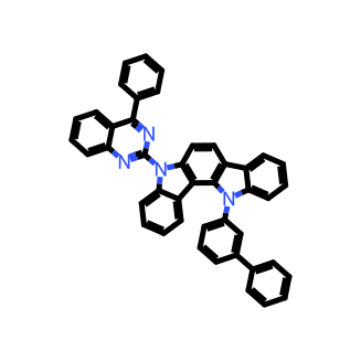 c1ccc(-c2cccc(-n3c4ccccc4c4ccc5c(c6ccccc6n5-c5nc(-c6ccccc6)c6ccccc6n5)c43)c2)cc1